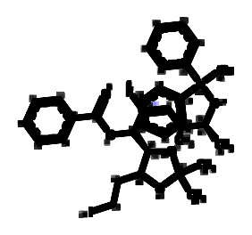 C[C@H](/C=C(/F)C(OC(=O)c1ccccc1)[C@H]1OC(C)(C)OC1CCI)[C@H](C)O[Si](c1ccccc1)(c1ccccc1)C(C)(C)C